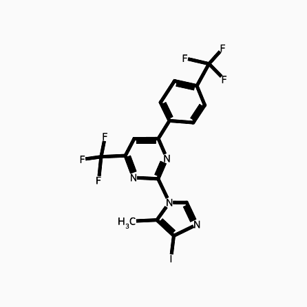 Cc1c(I)ncn1-c1nc(-c2ccc(C(F)(F)F)cc2)cc(C(F)(F)F)n1